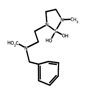 CN1CCN(CCN(Cc2ccccc2)C(=O)O)S1(O)O